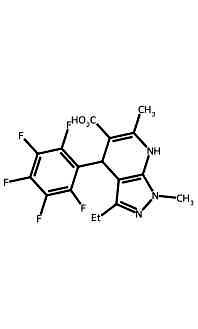 CCc1nn(C)c2c1C(c1c(F)c(F)c(F)c(F)c1F)C(C(=O)O)=C(C)N2